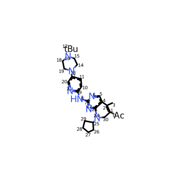 CC(=O)C1=C(C)c2cnc(Nc3ccc(N4CCN(C(C)(C)C)CC4)cn3)nc2N(C2CCCC2)C1